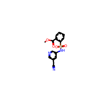 COC(=O)c1ccccc1S(=O)(=O)Nc1cncc(C#N)c1